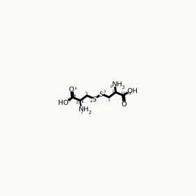 NC(CSSC[C@@H](N)C(=O)O)C(=O)O